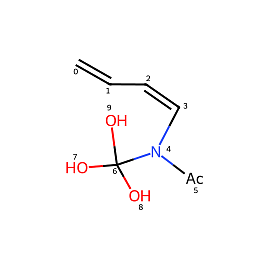 C=C/C=C\N(C(C)=O)C(O)(O)O